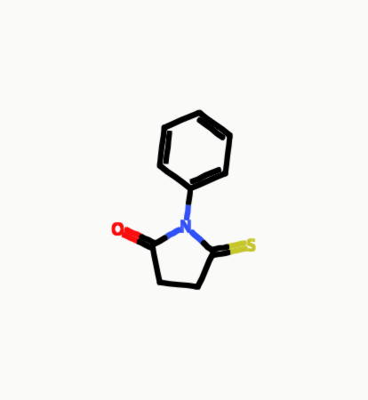 O=C1CCC(=S)N1c1ccccc1